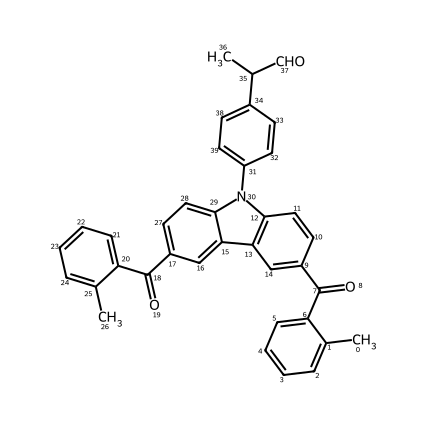 Cc1ccccc1C(=O)c1ccc2c(c1)c1cc(C(=O)c3ccccc3C)ccc1n2-c1ccc(C(C)C=O)cc1